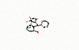 O=C1OC2(c3cc(Cl)c(O)cc3Oc3cc(O)c(Cl)c(CCl)c32)c2ccccc21